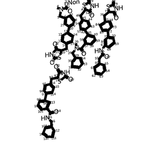 CCCCCCCCCC(=O)N(C)Cc1cccc(-c2ccc(CC3SC(=O)NC3=O)cc2)c1.CN(Cc1ccccc1)C(=O)c1cccc(-c2ccc(CC3SC(=O)NC3=O)cc2)c1.O=C(Cc1ccccc1)Nc1cccc(-c2ccc(CC3SC(=O)NC3=O)cc2)c1.O=C1NC(=O)C(Cc2ccc(-c3cccc(C(=O)NCc4ccccc4)c3)cc2)S1